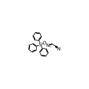 N#C/C=N/O[Si](c1ccccc1)(c1ccccc1)c1ccccc1